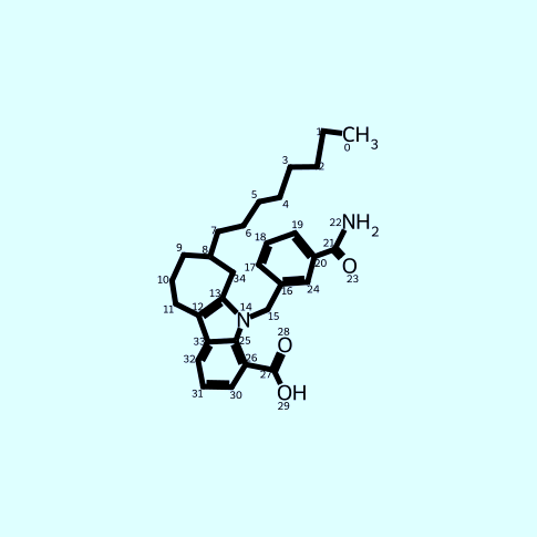 CCCCCCCCC1CCCc2c(n(Cc3cccc(C(N)=O)c3)c3c(C(=O)O)cccc23)C1